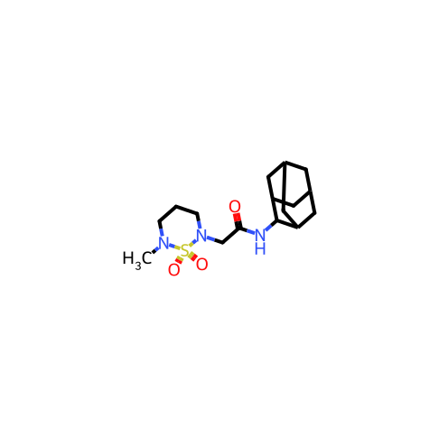 CN1CCCN(CC(=O)NC2C3CC4CC(C3)CC2C4)S1(=O)=O